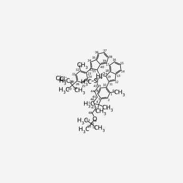 Cc1cc(C(C)(C)C)ccc1C1=Cc2ccccc2[CH]1[Hf+2]([CH]1C(c2ccc(C(C)(C)C)cc2C)=Cc2ccccc21)=[Si](C)CCCCCCOC(C)(C)C.[Cl-].[Cl-]